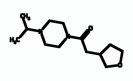 CC(C)N1CCN(C(=O)CC2CCOC2)CC1